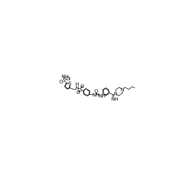 CCCCN1CCN(C(=N)c2cccc(NC(=O)Nc3ccc(S(=O)(=O)NCc4ccc(S(N)(=O)=O)s4)cc3)c2)CC1